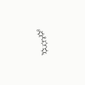 O=C(CN1CCN(Cc2ccc(F)cc2)CC1)c1ccc(Cl)cc1